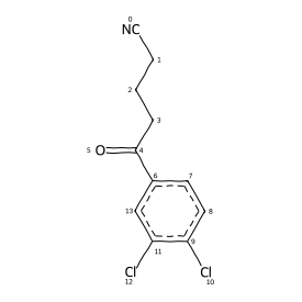 N#CCCCC(=O)c1ccc(Cl)c(Cl)c1